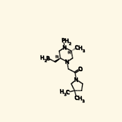 BC[C@H]1CN(P)[C@H](C)CN1CC(=O)N1CCC(C)(C)C1